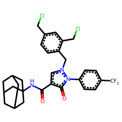 O=C(NC12CC3CC(CC(C3)C1)C2)c1cn(Cc2ccc(CCl)cc2CCl)n(-c2ccc(C(F)(F)F)cc2)c1=O